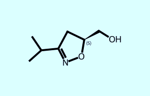 CC(C)C1=NO[C@H](CO)C1